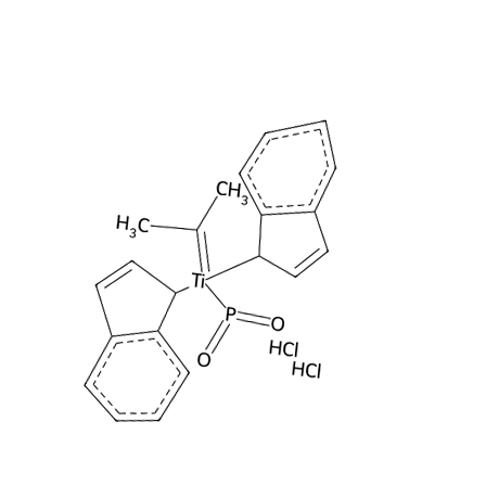 C[C](C)=[Ti]([CH]1C=Cc2ccccc21)([CH]1C=Cc2ccccc21)[P](=O)=O.Cl.Cl